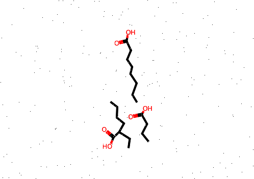 CCCC(=O)O.CCCCC(CC)C(=O)O.CCCCCCCC(=O)O